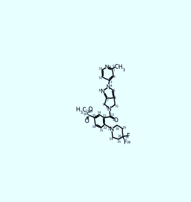 Cc1cc(-n2cc3c(n2)CN(C(=O)c2cc(S(C)(=O)=O)ccc2N2CCC(F)(F)CC2)C3)ccn1